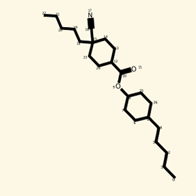 CCCCCC1CCC(OC(=O)C2CCC(C#N)(CCCCC)CC2)CC1